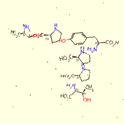 C[C@@H](O)[C@H](N)C(=O)O.N[C@@H](CO)C(=O)O.N[C@@H](Cc1ccc(O)cc1)C(=O)O.O=C(O)[C@@H]1CCCN1.O=C(O)[C@@H]1CCCN1.O=C(O)[C@@H]1CCCN1